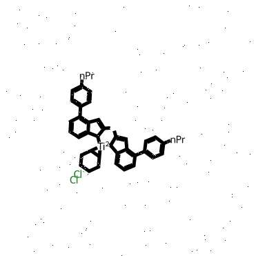 CCCc1ccc(-c2cccc3c2C=C(C)[CH]3[Ti+2]2([CH]3C(C)=Cc4c(-c5ccc(CCC)cc5)cccc43)[CH]3CCCC[CH]32)cc1.[Cl-].[Cl-]